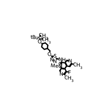 COc1cnc(C)c(F)c1-c1cc(C)ncc1C(=O)Nc1nnc(OCC2CCC(O[Si](C)(C)C(C)(C)C)CC2)s1